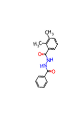 Cc1cccc(C(=O)NNC(=O)c2ccccc2)c1C